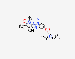 CC(=O)c1c(C)c2cnc(Nc3ccc(OCCN(C)C)cc3)nc2n(C23CC(C2)C3)c1=O